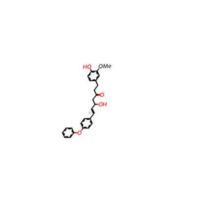 COc1cc(CCC(=O)CC(O)/C=C/c2ccc(Oc3ccccc3)cc2)ccc1O